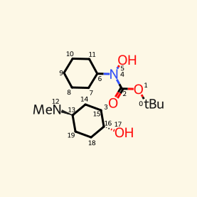 CC(C)(C)OC(=O)N(O)C1CCCCC1.CN[C@H]1CC[C@H](O)CC1